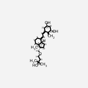 C=C1C(=CC=C2CCC[C@]3(C)[C@@H](COCCC(C)(C)O)CC[C@@H]23)C[C@@H](O)C[C@@H]1O